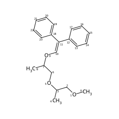 COCC(C)OCC(C)OC=C(c1ccccc1)c1ccccc1